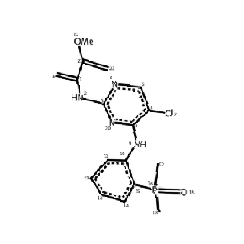 C=C(Nc1ncc(Cl)c(Nc2ccccc2P(C)(C)=O)n1)C(=C)OC